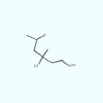 CCC(C)(CCNC)CC(C)F